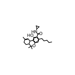 CCCCCc1cc2c(c(O)c1C(=O)NC1CC1)C1C=C(C)CCC1C(C)(C)O2